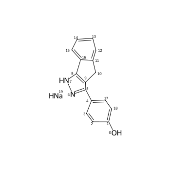 Oc1ccc(-c2n[nH]c3c2Cc2ccccc2-3)cc1.[NaH]